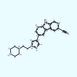 N#Cc1cc2c(cn1)[nH]c1ncc(-c3cnn(CCN4CCOCC4)c3)cc12